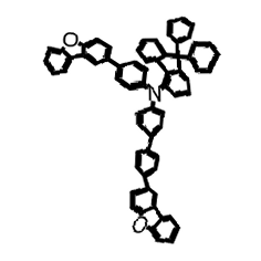 c1ccc(C2(c3ccccc3)c3ccccc3-c3c(N(c4ccc(-c5ccc(-c6ccc7oc8ccccc8c7c6)cc5)cc4)c4ccc(-c5ccc6oc7ccccc7c6c5)cc4)cccc32)cc1